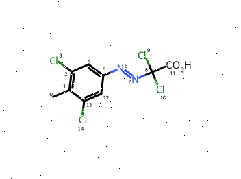 Cc1c(Cl)cc(N=NC(Cl)(Cl)C(=O)O)cc1Cl